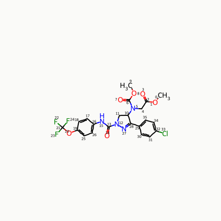 COC(=O)CN(C(=O)OC)C1CN(C(=O)Nc2ccc(OC(F)(F)F)cc2)N=C1c1ccc(Cl)cc1